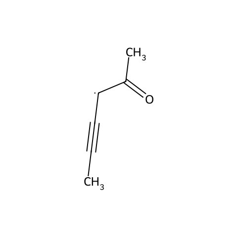 CC#C[CH]C(C)=O